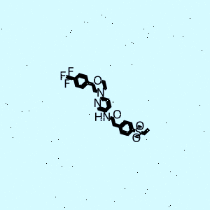 CCS(=O)(=O)c1ccc(CC(=O)Nc2ccc(N3CCOC(c4ccc(C(F)(F)F)cc4)C3)nc2)cc1